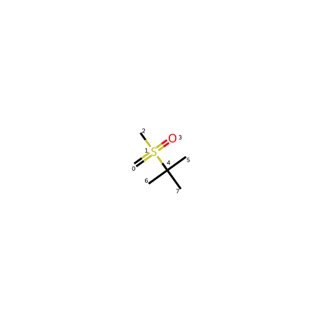 C=S(C)(=O)C(C)(C)C